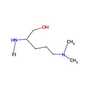 CCNC(CO)CCCN(C)C